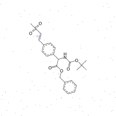 CC(C)(C)OC(=O)NC(C(=O)OCc1ccccc1)c1ccc(/C=C/S(C)(=O)=O)cc1